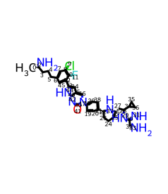 C[C@H](N)CCCc1cc(Cl)c(F)c(-c2cc3cn(-c4ccc([C@@H]5CCC[C@@H](CC(NC(=N)CN)C6CC6)N5)cc4)c(=O)nc3[nH]2)c1